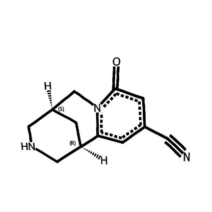 N#Cc1cc2n(c(=O)c1)C[C@@H]1CNC[C@H]2C1